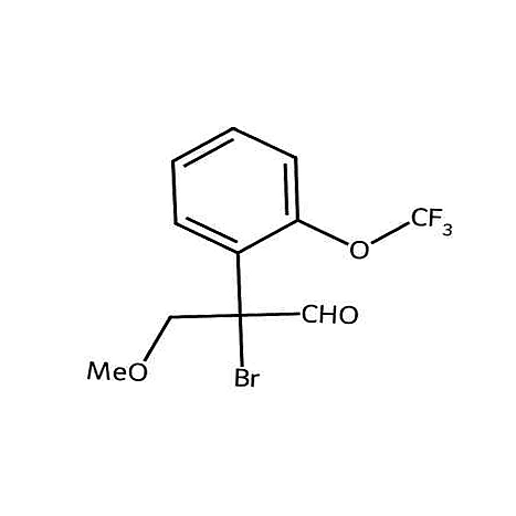 COCC(Br)(C=O)c1ccccc1OC(F)(F)F